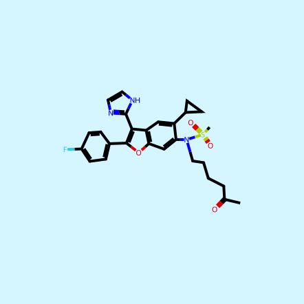 CC(=O)CCCCN(c1cc2oc(-c3ccc(F)cc3)c(-c3ncc[nH]3)c2cc1C1CC1)S(C)(=O)=O